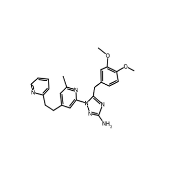 COc1ccc(Cc2nc(N)nn2-c2cc(CCc3ccccn3)cc(C)n2)cc1OC